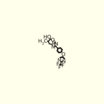 C=C(Cc1nc(-c2ccc(Oc3cnc(C(F)(F)F)nc3)cc2)no1)C(=O)O